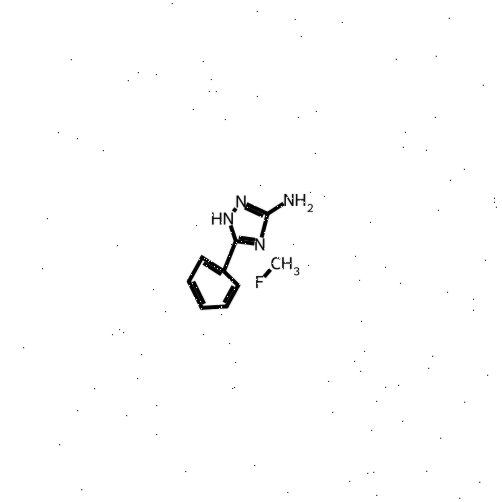 CF.Nc1n[nH]c(-c2ccccc2)n1